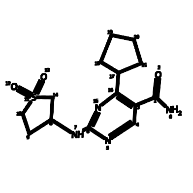 NC(=O)c1cnc(NC2CCS(=O)(=O)C2)nc1C1CCCC1